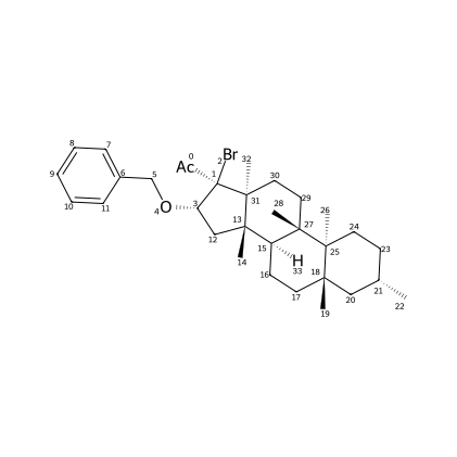 CC(=O)[C@@]1(Br)[C@@H](OCc2ccccc2)C[C@@]2(C)[C@@H]3CC[C@@]4(C)C[C@@H](C)CC[C@]4(C)[C@@]3(C)CC[C@@]21C